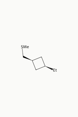 CC[C@H]1C[C@@H](CSC)C1